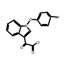 O=C(Cl)C(=O)c1cn(Oc2ccc(F)cc2)c2ccccc12